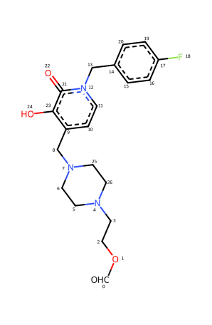 O=COCCN1CCN(Cc2ccn(Cc3ccc(F)cc3)c(=O)c2O)CC1